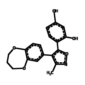 Cc1noc(-c2ccc(O)cc2O)c1-c1ccc2c(c1)OCCCO2